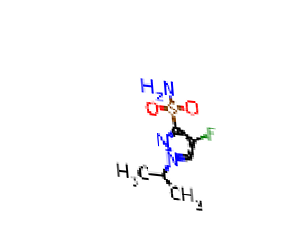 CC(C)n1cc(F)c(S(N)(=O)=O)n1